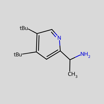 CC(N)c1cc(C(C)(C)C)c(C(C)(C)C)cn1